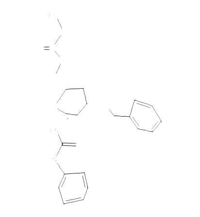 O=C(Nc1ccccc1)N[C@H]1C[C@@H](OCc2ccccc2)C[C@@H](COS(=O)OO)O1